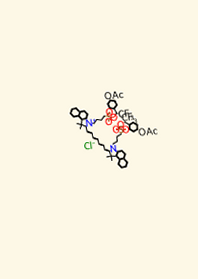 CC(=O)Oc1ccc(C(OS(=O)(=O)CCCCN2\C(=C/C=C/C=C/C=C/C3=[N+](CCCCS(=O)(=O)OC(c4ccc(OC(C)=O)cc4)C(F)(F)F)c4ccc5ccccc5c4C3(C)C)C(C)(C)c3c2ccc2ccccc32)C(F)(F)F)cc1.[Cl-]